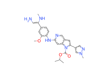 CN/C(=C\N)c1ccc(Nc2cc3c(cn2)cc(-c2cnn(C)c2)n3C(=O)OC(C)C)c(OC)c1